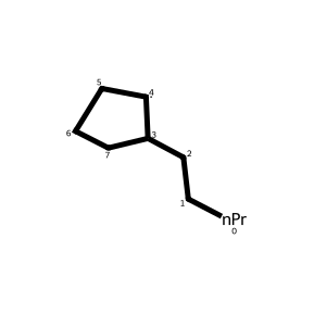 [CH2]CCCCC1[CH]CCC1